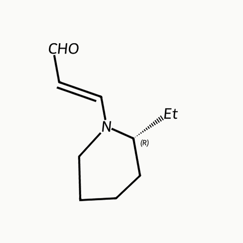 CC[C@@H]1CCCCN1C=CC=O